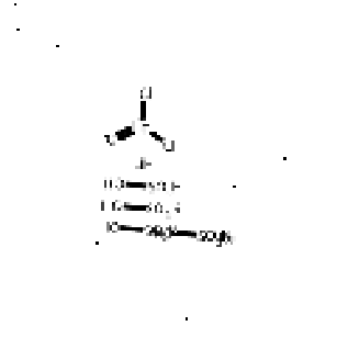 O=S(=O)(O)O.O=S(=O)(O)O.O=S(=O)(O)O.O=S(=O)(O)O.[LiH].[O]=[Hf]([Cl])[Cl].[Re]